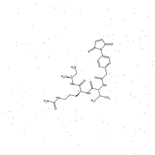 BC[C@H](C)NC(=O)[C@H](CCCNC(N)=O)NC(=O)C(NC(=O)Cc1ccc(N2C(=O)C=CC2=O)cc1)C(C)C